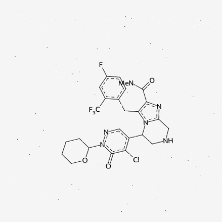 CNC(=O)c1nc2n(c1Cc1ccc(F)cc1C(F)(F)F)C(c1cnn(C3CCCCO3)c(=O)c1Cl)CNC2